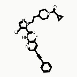 O=C(Nc1ncc(C#Cc2ccccc2)cc1F)c1c(Cl)cnn1CCC1CCN(C(=O)C2CC2)CC1